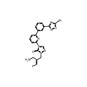 CC(C)c1nc(-c2cccc(-c3cccc(-n4cnn(C/C(=C/F)CN)c4=O)n3)c2)no1